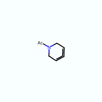 CC(=O)N1CC=C=CC1